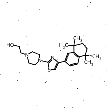 CC1(C)CCC(C)(C)c2cc(-c3csc(N4CCN(CCO)CC4)n3)ccc21